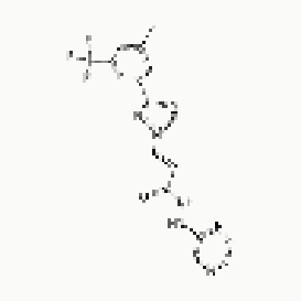 Cc1cc(-c2ncn(/C=C/C(=O)NNc3cnccn3)n2)cc(C(F)(F)F)c1